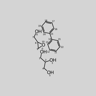 OCC(O)CO.OCC1CO1.c1ccc(-c2ccccc2)cc1